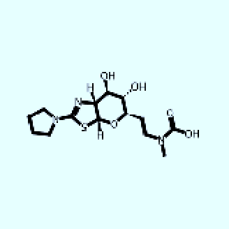 CN(CC[C@H]1O[C@@H]2SC(N3CCCC3)=N[C@@H]2[C@@H](O)[C@@H]1O)C(=O)O